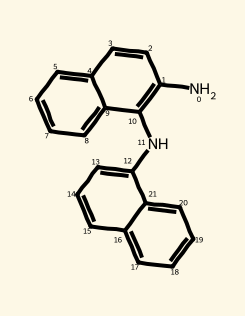 Nc1ccc2ccccc2c1Nc1cccc2ccccc12